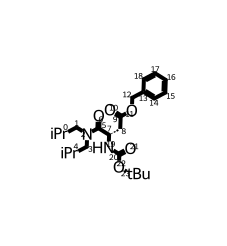 CC(C)CN(CC(C)C)C(=O)[C@H](CC(=O)OCc1ccccc1)NC(=O)OC(C)(C)C